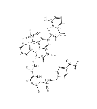 CNC(=O)c1ccc(CNC(=O)[C@@H](NC(=O)[C@H](C)NC[C@H](Cc2ccccc2)NC(=O)c2cc(C(=O)N[C@H](C)c3cccc(Cl)c3)cc(N(C)S(C)(=O)=O)c2)C(C)C)cc1